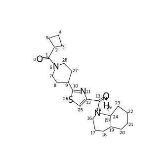 O=C(C1CCC1)N1CCC(c2nc(C(=O)N3CCCC4CCCC[C@@H]43)cs2)CC1